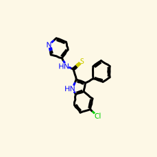 S=C(Nc1cccnc1)c1[nH]c2ccc(Cl)cc2c1-c1ccccc1